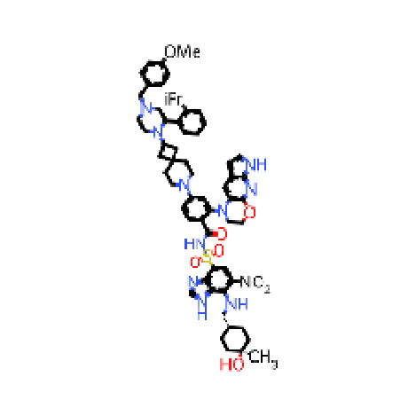 COc1ccc(CN2CCN(C3CC4(CCN(c5ccc(C(=O)NS(=O)(=O)c6cc([N+](=O)[O-])c(NC[C@H]7CC[C@](C)(O)CC7)c7[nH]cnc67)c(N6CCOc7nc8[nH]ccc8cc76)c5)CC4)C3)C(c3ccccc3C(C)C)C2)cc1